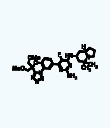 COCC1(COC)Oc2ccc(-c3nc(N)nc(N[C@@H]4C[C@@H]5CCCN5C(C)(C)C4)c3F)cc2-n2nnnc21